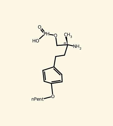 CCCCCOc1ccc(CC[C@@](C)(N)CO[PH](=O)O)cc1